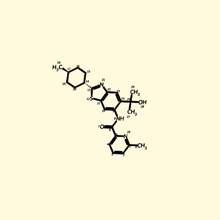 Cc1cccc(C(=O)Nc2cc3sc([C@H]4CC[C@H](C)CC4)nc3cc2C(C)(C)O)n1